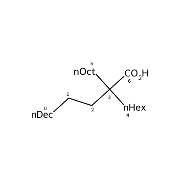 CCCCCCCCCCCCC(CCCCCC)(CCCCCCCC)C(=O)O